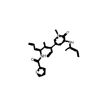 C=C/C=C(NC(=O)c1cccs1)\C(C)=C(/C=C)c1cc(N/C(C)=C/C)c(=O)n(C)c1